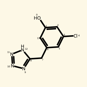 Oc1cc(Cl)cc(Cc2nnn[nH]2)c1